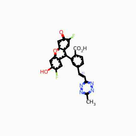 Cc1nnc(/C=C/c2ccc(C(=O)O)c(-c3c4cc(F)c(=O)cc-4oc4cc(O)c(F)cc34)c2)nn1